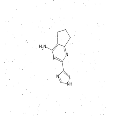 Nc1nc(-c2c[nH]cn2)nc2c1CCC2